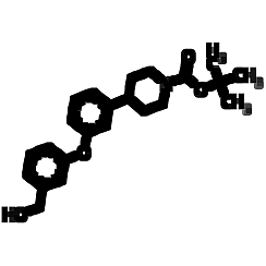 CC(C)(C)OC(=O)N1CCC(c2cccc(Oc3cccc(CO)c3)c2)CC1